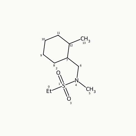 CCS(=O)(=O)N(C)CC1CCCCC1C